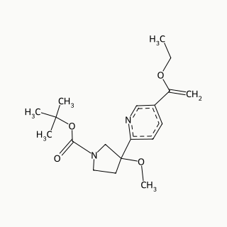 C=C(OCC)c1ccc(C2(OC)CCN(C(=O)OC(C)(C)C)C2)nc1